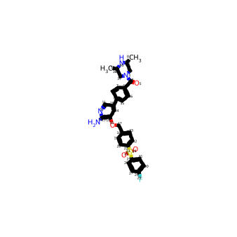 CC1CN(C(=O)c2ccc(-c3cnc(N)c(OCc4ccc(S(=O)(=O)c5ccc(F)cc5)cc4)c3)cc2)CC(C)N1